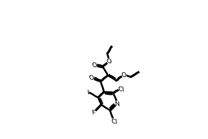 CCO/C=C(\C(=O)OCC)C(=O)c1c(Cl)nc(Cl)c(F)c1I